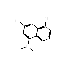 CC(C)c1cc(N(C)C)c2cccc([N+](=O)[O-])c2n1